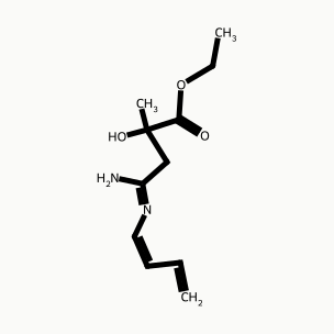 C=C/C=C\N=C(/N)CC(C)(O)C(=O)OCC